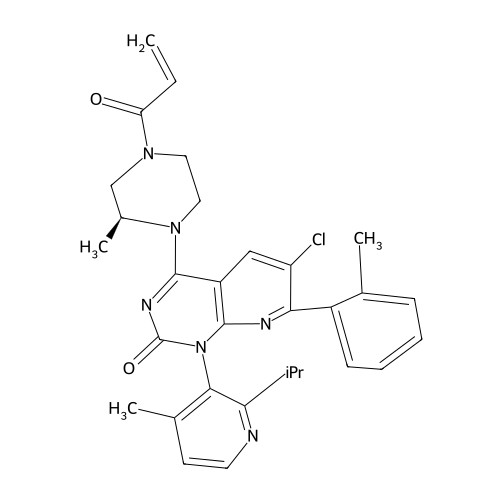 C=CC(=O)N1CCN(c2nc(=O)n(-c3c(C)ccnc3C(C)C)c3nc(-c4ccccc4C)c(Cl)cc23)[C@@H](C)C1